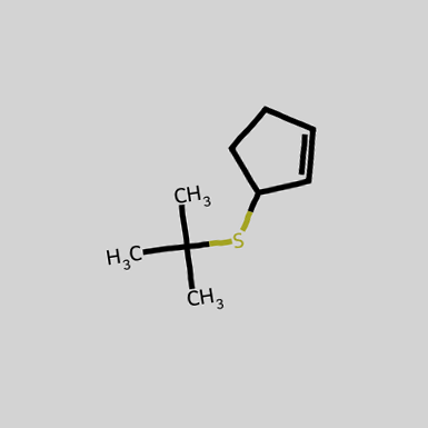 CC(C)(C)SC1C=CCC1